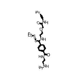 CCSSC(NCCOCC(=O)NC#CC(C)C)c1ccc(C(=O)NCCNC(C)C)cc1